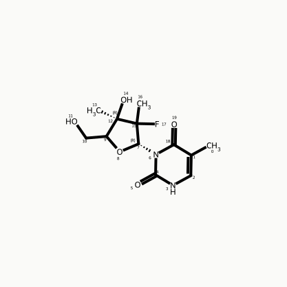 Cc1c[nH]c(=O)n([C@@H]2OC(CO)[C@@](C)(O)C2(C)F)c1=O